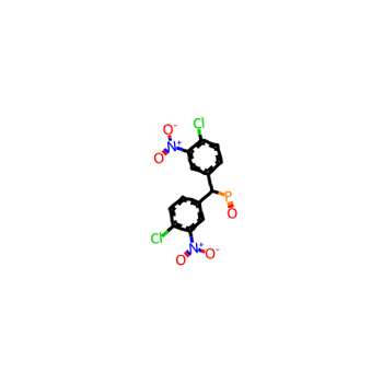 O=PC(c1ccc(Cl)c([N+](=O)[O-])c1)c1ccc(Cl)c([N+](=O)[O-])c1